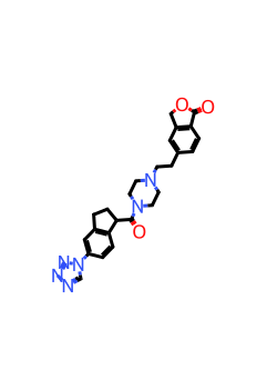 O=C1OCc2cc(CCN3CCN(C(=O)C4CCc5cc(-n6cnnn6)ccc54)CC3)ccc21